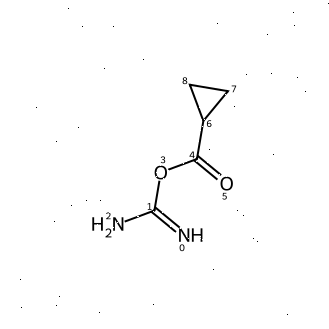 N=C(N)OC(=O)C1CC1